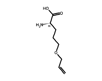 C=CCOCCC[C@H](N)C(=O)O